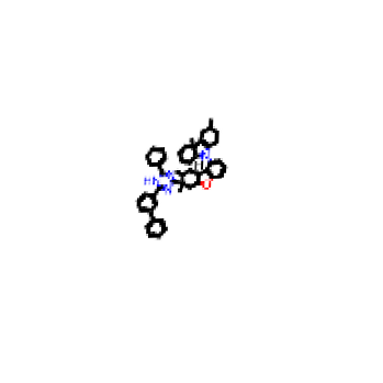 CC1CCC2=C(C1)C1(C)C=CC=CC1N2c1cccc2c1[C@@H]1CC(C)C(C)(C3=NC(C4=CC=CCC4)NC(c4cccc(-c5ccccc5)c4)=N3)CC1O2